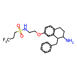 NC1CCc2ccc(OCCNS(=O)(=O)CCC(F)(F)F)cc2C1Cc1ccccc1